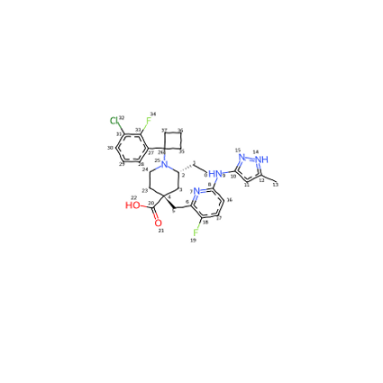 CC[C@@H]1C[C@](Cc2nc(Nc3cc(C)[nH]n3)ccc2F)(C(=O)O)CCN1C1(c2cccc(Cl)c2F)CCC1